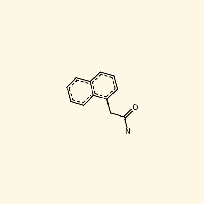 [N]C(=O)Cc1cccc2ccccc12